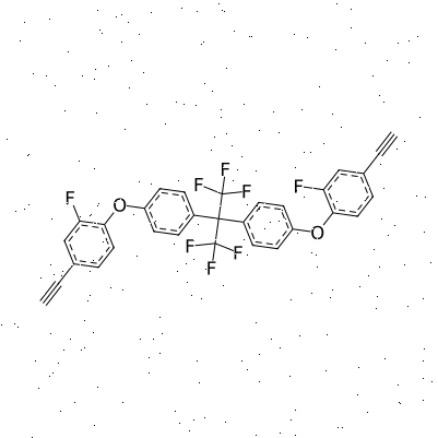 C#Cc1ccc(Oc2ccc(C(c3ccc(Oc4ccc(C#C)cc4F)cc3)(C(F)(F)F)C(F)(F)F)cc2)c(F)c1